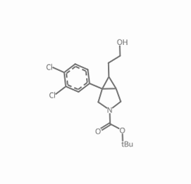 CC(C)(C)OC(=O)N1CC2C(CCO)C2(c2ccc(Cl)c(Cl)c2)C1